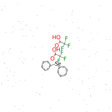 O=C(O)C(F)(F)F.O=C(O)C(F)(F)F.c1ccc([Se]c2ccccc2)cc1